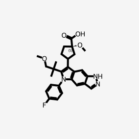 COCC(C)(C)c1c(C2CC[C@@](OC)(C(=O)O)C2)c2cc3[nH]ncc3cc2n1-c1ccc(F)cc1